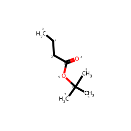 C[CH]CC(=O)OC(C)(C)C